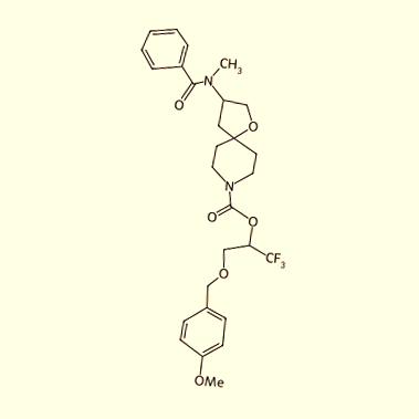 COc1ccc(COCC(OC(=O)N2CCC3(CC2)CC(N(C)C(=O)c2ccccc2)CO3)C(F)(F)F)cc1